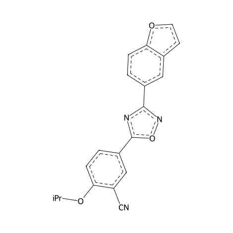 CC(C)Oc1ccc(-c2nc(-c3ccc4occc4c3)no2)cc1C#N